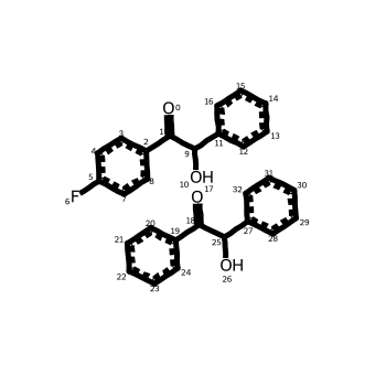 O=C(c1ccc(F)cc1)C(O)c1ccccc1.O=C(c1ccccc1)C(O)c1ccccc1